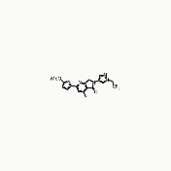 COc1ccc(-c2cc(C)c3c(n2)CN(c2cnn(CC(F)(F)F)c2)C3=O)s1